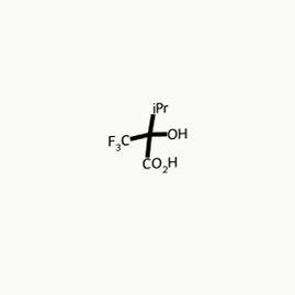 CC(C)C(O)(C(=O)O)C(F)(F)F